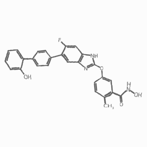 Cc1ccc(Oc2nc3cc(-c4ccc(-c5ccccc5O)cc4)c(F)cc3[nH]2)cc1C(=O)NO